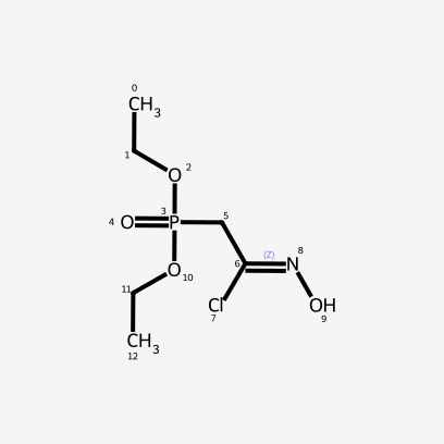 CCOP(=O)(C/C(Cl)=N/O)OCC